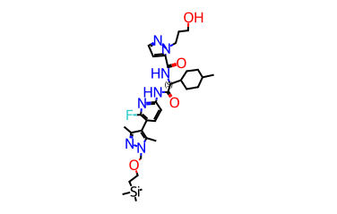 Cc1nn(COCC[Si](C)(C)C)c(C)c1-c1ccc(NC(=O)[C@@H](NC(=O)c2ccnn2CCCO)C2CCC(C)CC2)nc1F